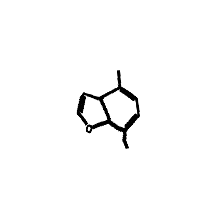 CC1=CC=C(C)C2OC=CC12